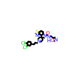 O=C(NCc1cnco1)N1CC2(CCN(CC=Cc3ccc(Cl)c(Cl)c3)CC2)c2c1ccc1scnc21